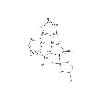 CCCC(C)(CC)N1C(=O)OC(c2ccccc2)(c2ccccc2)C1C(C)C